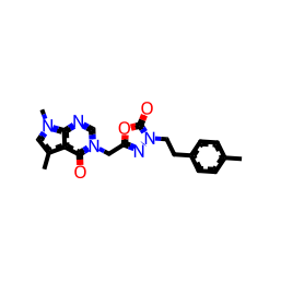 Cc1ccc(CCn2nc(Cn3cnc4c(c(C)cn4C)c3=O)oc2=O)cc1